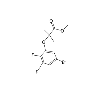 COC(=O)C(C)(C)Oc1cc(Br)cc(F)c1F